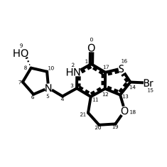 O=c1[nH]c(CN2CC[C@H](O)C2)c2c3c(c(Br)sc13)OCCC2